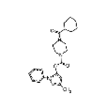 Cc1cc(OC(=O)N2CCN(C(=O)C3CCCCC3)CC2)n(-c2ccccc2)n1